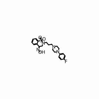 O=S1(=O)c2ccccc2C(=NO)CN1CCCN1CCN(c2ccc(F)cc2)CC1